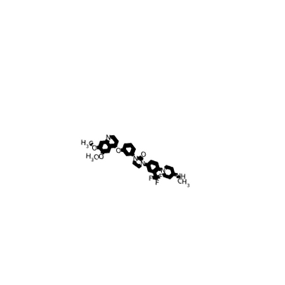 CNC1CCN(c2ccc(N3CCN(c4cccc(Oc5ccnc6cc(OC)c(OC)cc56)c4)C3=O)cc2C(F)(F)F)CC1